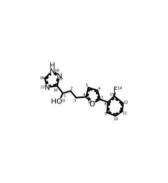 OC(CCc1ccc(-c2ccccc2F)o1)c1nc[nH]n1